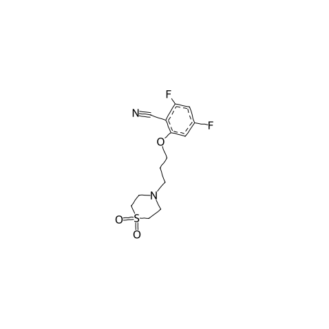 N#Cc1c(F)cc(F)cc1OCCCN1CCS(=O)(=O)CC1